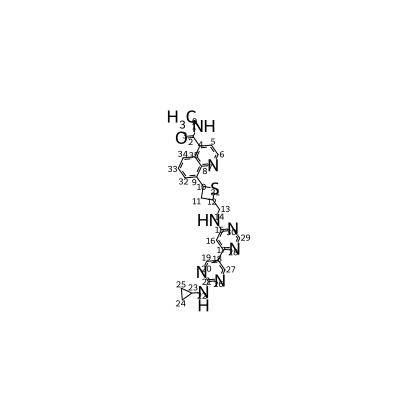 CNC(=O)c1ccnc2c(C3CC(CNc4cc(-c5cnc(NC6CC6)nc5)ncn4)S3)cccc12